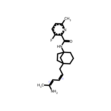 C/C(N)=C/C=C\CC12CCCC(NC(=O)c3nc(C)ccc3F)(CC1)C2